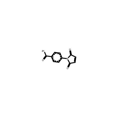 CC(C)C(=O)c1ccc(N2C(=O)C=CC2=O)cc1